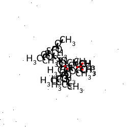 CCOC(=O)CCSP(OC(C)C)OC(C)CSP(OC(C)COP(OC(C)CC(C)C)OC(C)CC(C)C)OC(C)COP(OC(C)CC(C)C)OC(C)CC(C)C